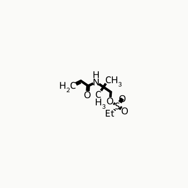 C=CC(=O)NC(C)(C)COS(=O)(=O)CC